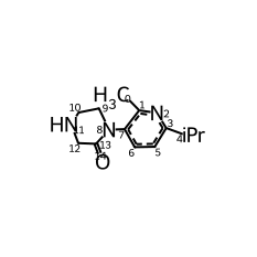 Cc1nc(C(C)C)ccc1N1CCNCC1=O